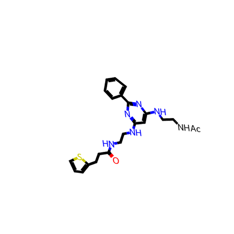 CC(=O)NCCNc1cc(NCCNC(=O)CCc2cccs2)nc(-c2ccccc2)n1